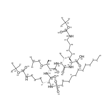 CCCCCCCCCCCCS(=O)(=O)N[C@H](CCCCNC(=O)OC(C)(C)C)C(=O)N[C@@H](C(=O)N[C@H](CC)C(=O)N[C@@H](CCCCCNC(=O)OC(C)(C)C)C(=O)O)[C@H](C)OCC(C)C